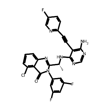 C[C@@H](Nc1ncnc(N)c1C#Cc1ccc(F)cn1)c1nc2cccc(Cl)c2c(=O)n1-c1cc(F)cc(F)c1